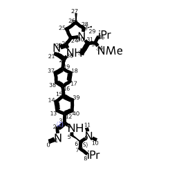 C=N/C=C(\NC[C@H](CC(C)C)N(C)C)c1ccc(-c2ccc(-c3cnc(C4C[C@@H](C)[C@H](C)N4C(=C)C(NC)C(C)C)[nH]3)cc2)cc1